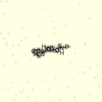 COCCNC(=O)c1cccc(-c2ccc3cnc(CNC(=O)c4ccc5c(c4)[C@](C)(C#N)COC5)cc3n2)c1